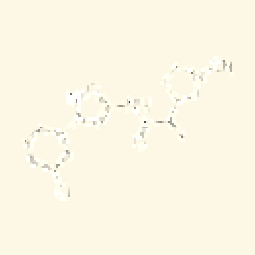 C=C(C(=O)Nc1cc(-c2cccc(Cl)c2)no1)C1CCN(C#N)C1